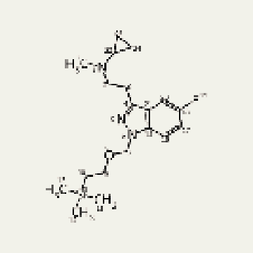 CN(CCc1nn(COCC[Si](C)(C)C)c2ccc(F)cc12)C1CC1